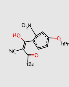 CCCOc1ccc(C(O)=C(C#N)C(=O)C(C)(C)C)c([N+](=O)[O-])c1